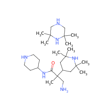 CC1(C)CC(C(C)(CN)C(=O)NC2CCNCC2)CC(C)(C)N1.CC1(C)CNCC(C)(C)N1